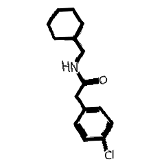 O=C(Cc1ccc(Cl)cc1)NCC1CCCCC1